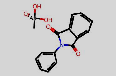 C[As](=O)(O)O.O=C1c2ccccc2C(=O)N1c1ccccc1